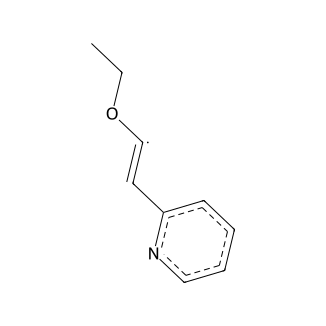 CCO/[C]=C/c1ccccn1